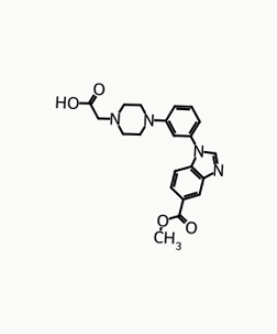 COC(=O)c1ccc2c(c1)ncn2-c1cccc(N2CCN(CC(=O)O)CC2)c1